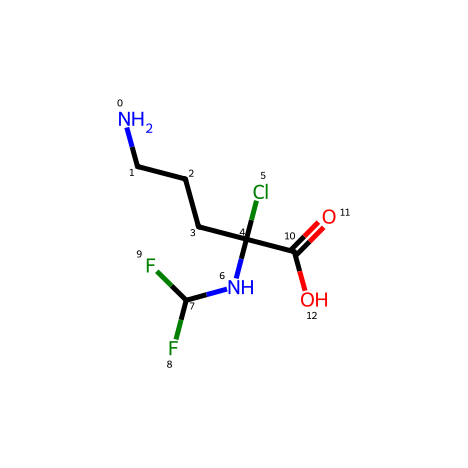 NCCCC(Cl)(NC(F)F)C(=O)O